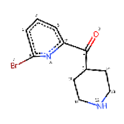 O=C(c1cccc(Br)n1)C1CCNCC1